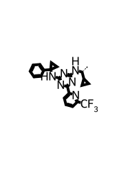 C[C@@H](Nc1nc(NC2(c3ccccc3)CC2)nc(-c2cccc(C(F)(F)F)n2)n1)C1CC1